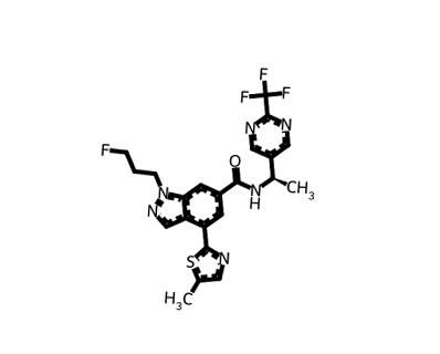 Cc1cnc(-c2cc(C(=O)N[C@H](C)c3cnc(C(F)(F)F)nc3)cc3c2cnn3CCCF)s1